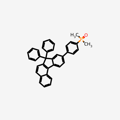 CP(C)(=O)c1ccc(-c2ccc3c(c2)C(c2ccccc2)(c2ccccc2)c2ccc4ccccc4c2-3)cc1